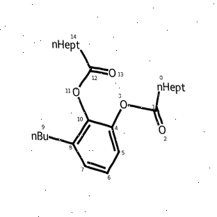 CCCCCCCC(=O)Oc1cccc(CCCC)c1OC(=O)CCCCCCC